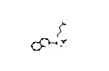 O=C(O)CCCn1c(-c2ccc3ccccc3n2)n[nH]c1=S